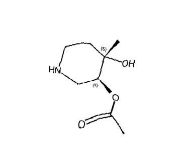 CC(=O)O[C@H]1CNCC[C@]1(C)O